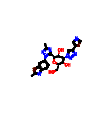 Cc1nc([C@@H]2O[C@H](CO)[C@H](O)[C@H](n3cc(-c4cncs4)nn3)[C@H]2O)n(-c2ccc3nc(C)sc3c2)n1